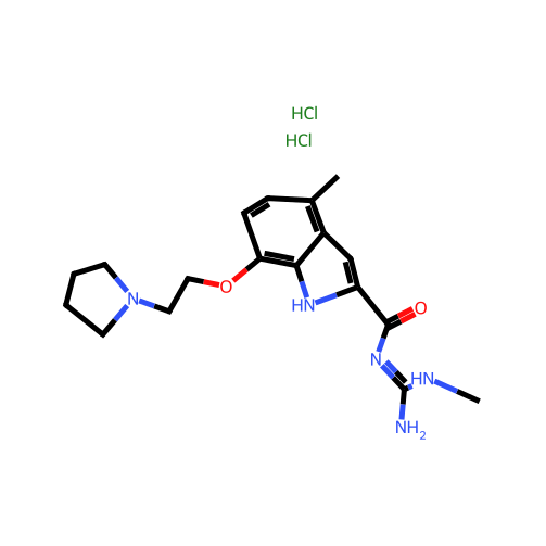 CNC(N)=NC(=O)c1cc2c(C)ccc(OCCN3CCCC3)c2[nH]1.Cl.Cl